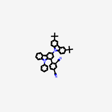 CC(C)(C)c1ccc2c(c1)c1cc(C(C)(C)C)ccc1n2-c1cc(-c2ccc(C#N)cc2C#N)c2c(c1)c1ccccc1n2-c1ccccc1